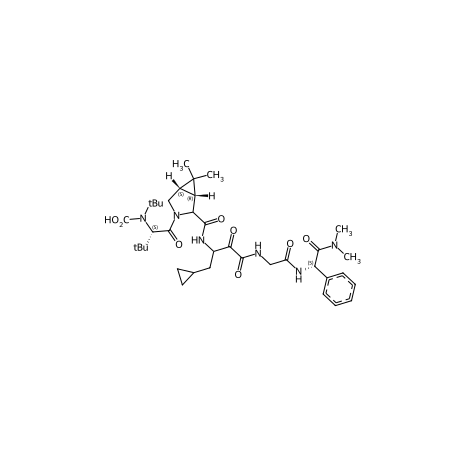 CN(C)C(=O)[C@@H](NC(=O)CNC(=O)C(=O)C(CC1CC1)NC(=O)C1[C@@H]2[C@H](CN1C(=O)[C@@H](N(C(=O)O)C(C)(C)C)C(C)(C)C)C2(C)C)c1ccccc1